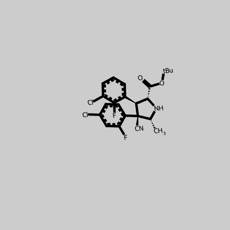 C[C@H]1N[C@@H](C(=O)OC(C)(C)C)[C@H](c2cccc(Cl)c2F)[C@@]1(C#N)c1ccc(Cl)cc1F